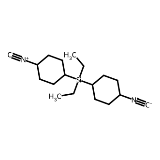 [C-]#[N+]C1CCC([Si](CC)(CC)C2CCC([N+]#[C-])CC2)CC1